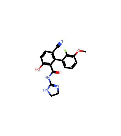 COc1cccc(-c2c(C#N)ccc(O)c2C(=O)NC2=NCCN2)c1F